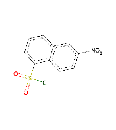 O=[N+]([O-])c1ccc2c(S(=O)(=O)Cl)cccc2c1